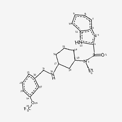 CCN(C(=O)c1nc2ccccc2[nH]1)C1CCCC(NCc2cccc(OC(F)(F)F)c2)C1